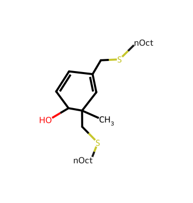 CCCCCCCCSCC1=CC(C)(CSCCCCCCCC)C(O)C=C1